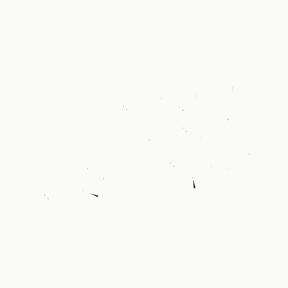 C[C@@H](Nc1nncc2c1cc(C1=C[C@@H]3CNC[C@@H](C1)O3)c(=O)n2C)c1cccc(C(F)F)c1